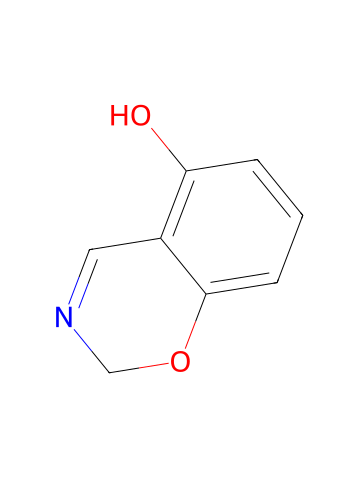 Oc1cccc2c1C=NCO2